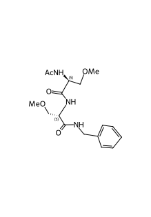 COC[C@H](NC(C)=O)C(=O)N[C@@H](COC)C(=O)NCc1ccccc1